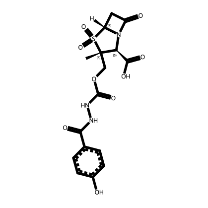 C[C@]1(COC(=O)NNC(=O)c2ccc(O)cc2)[C@H](C(=O)O)N2C(=O)C[C@H]2S1(=O)=O